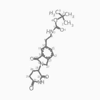 CC(C)(C)OC(=O)NCCc1ccc2c(c1)C(=O)N(C1CCC(=O)NC1=O)C2